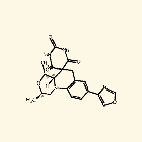 C[C@@H]1CN2c3ccc(-c4ncon4)cc3CC3(C(=O)NC(=O)NC3=O)[C@H]2[C@H](C)O1